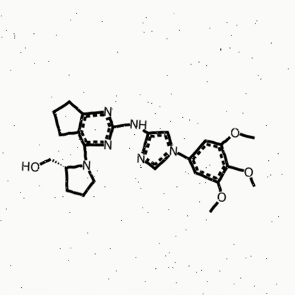 COc1cc(-n2cnc(Nc3nc4c(c(N5CCC[C@@H]5CO)n3)CCC4)c2)cc(OC)c1OC